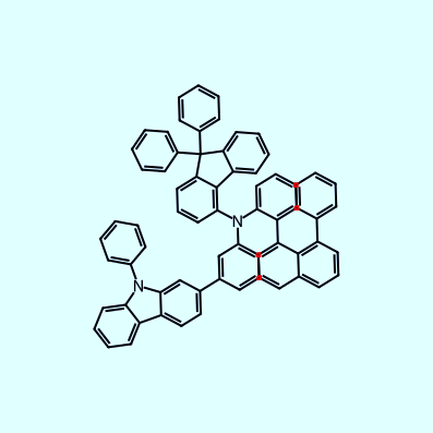 c1ccc(-c2cccc3cccc(-c4ccccc4N(c4cccc(-c5ccc6c7ccccc7n(-c7ccccc7)c6c5)c4)c4cccc5c4-c4ccccc4C5(c4ccccc4)c4ccccc4)c23)cc1